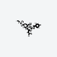 CCOC(=O)ON1CCC(C#N)(NC(=O)C(CC(C)C)OC(=O)NCc2ccccc2)CC1